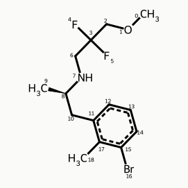 COCC(F)(F)CN[C@H](C)Cc1cccc(Br)c1C